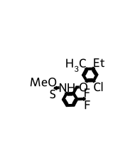 CCc1cc(Cl)c(OCc2c(NC(=S)OC)cccc2C(F)F)cc1C